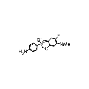 CNC1=C(F)CC2=C[N+]([O-])(c3ccc(N)cc3)COC2=C1